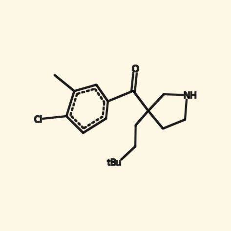 Cc1cc(C(=O)C2(CCC(C)(C)C)CCNC2)ccc1Cl